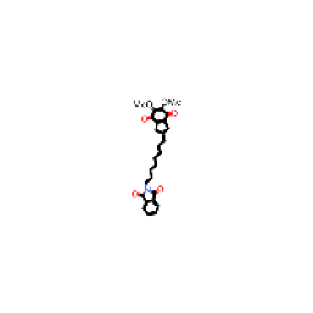 COC1=C(OC)C(=O)C2=C(CC(CCCCCCCCN3C(=O)c4ccccc4C3=O)C2)C1=O